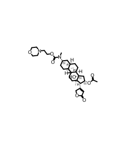 CC(=O)O[C@H]1C[C@]2(O)[C@@H]3CC[C@@H]4C[C@@H](N(C)C(=O)OCCN5CCOCC5)CC[C@]4(C)[C@H]3CC[C@]2(C)[C@H]1C1=CC(=O)OC1